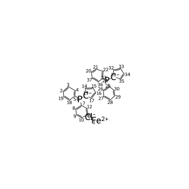 [Cl-].[Fe+2].c1ccc(P(c2ccccc2)[c-]2cccc2)cc1.c1ccc(P(c2ccccc2)[c-]2cccc2)cc1